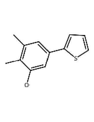 Cc1cc(-c2cccs2)cc([O])c1C